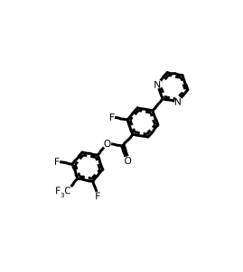 O=C(Oc1cc(F)c(C(F)(F)F)c(F)c1)c1ccc(-c2ncccn2)cc1F